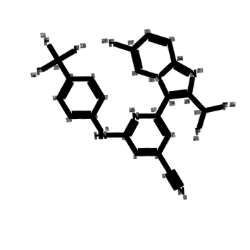 N#Cc1cc(Nc2ccc(C(F)(F)F)cc2)nc(-c2c(C(F)F)nc3ccc(F)cn23)c1